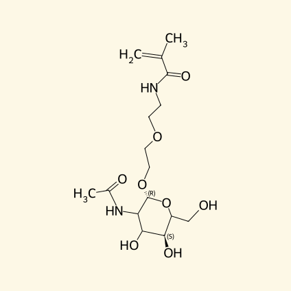 C=C(C)C(=O)NCCOCCO[C@@H]1OC(CO)[C@@H](O)C(O)C1NC(C)=O